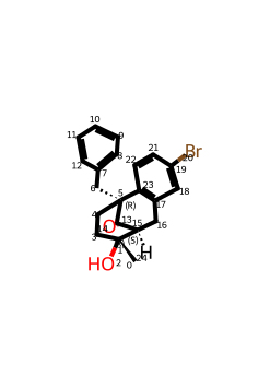 C[C@@]1(O)CC[C@]2(Cc3ccccc3)C(=O)[C@H]1Cc1cc(Br)ccc12